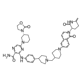 C=C1CCC(n2ccc3cc(N4CCC(CN5CCC(c6ccc(Nc7nc(N8CCC[C@@H](N9CCOC9=O)C8)cnc7C(N)=O)cc6)CC5)CC4)ccc3c2=O)C(=O)N1